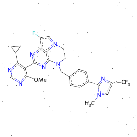 COc1ncnc(C2CC2)c1-c1nc2c3c(n1)c(F)cn3CCN2Cc1ccc(-c2nc(C(F)(F)F)cn2C)cc1